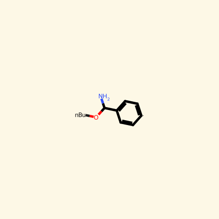 CCCCOC(N)c1cc[c]cc1